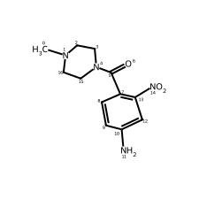 CN1CCN(C(=O)c2ccc(N)cc2[N+](=O)[O-])CC1